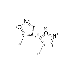 Cc1ccno1.Cc1cnoc1